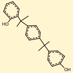 CC(C)(c1ccc(O)cc1)c1ccc(C(C)(C)c2ccccc2O)cc1